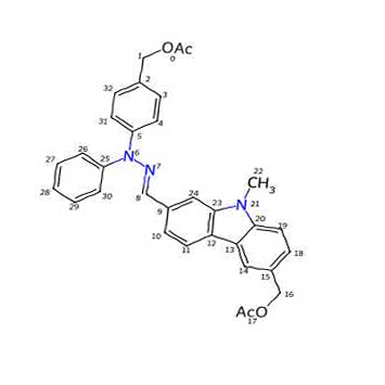 CC(=O)OCc1ccc(N(N=Cc2ccc3c4cc(COC(C)=O)ccc4n(C)c3c2)c2ccccc2)cc1